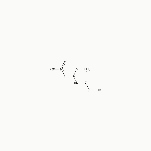 CS/C(=C\[N+](=O)[O-])NCCCl